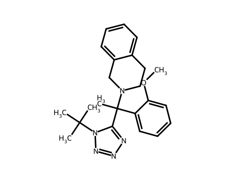 COc1ccccc1C(C)(c1nnnn1C(C)(C)C)N1CCc2ccccc2C1